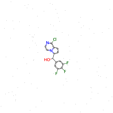 OC(c1cc(F)c(F)c(F)c1)c1ccc2c(Cl)nccn12